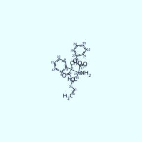 C=CCOC(=O)C(C=O)(c1ccccc1)C(C)(N)C(=O)Oc1ccccc1